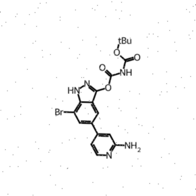 CC(C)(C)OC(=O)NC(=O)Oc1n[nH]c2c(Br)cc(-c3ccnc(N)c3)cc12